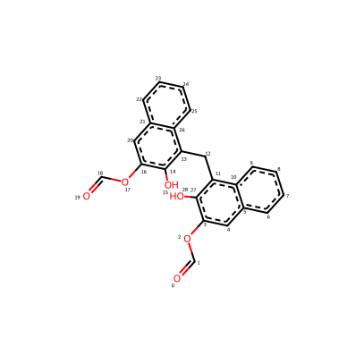 O=COc1cc2ccccc2c(Cc2c(O)c(OC=O)cc3ccccc23)c1O